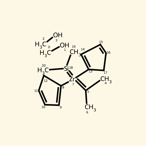 CO.CO.C[C](C)=[Zr]([C]1=CC=CC1)([C]1=CC=CC1)=[Si](C)C